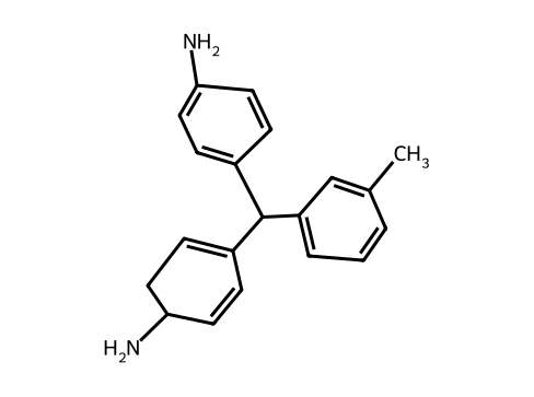 Cc1cccc(C(C2=CCC(N)C=C2)c2ccc(N)cc2)c1